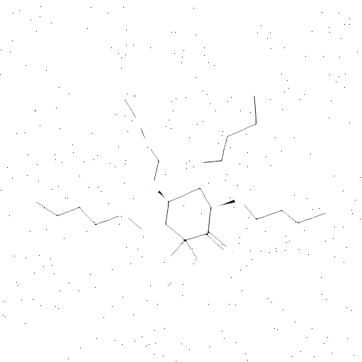 CCCCOC[C@@H]1[C@@H](OCCCC)[C@H](OCCCC)[C@@H](OCCCC)C(=O)C1(F)F